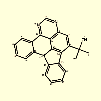 CC(C)(C#N)c1cc2ncnc3c4ccccc4n4c5ccccc5c1c4c23